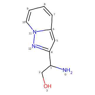 NC(CO)c1cc2ccccn2n1